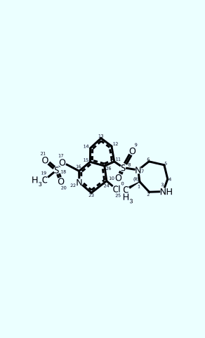 C[C@@H]1CNCCCN1S(=O)(=O)c1cccc2c(OS(C)(=O)=O)ncc(Cl)c12